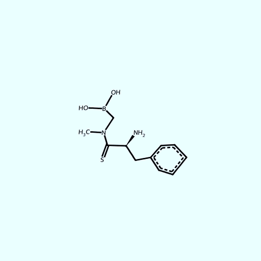 CN(CB(O)O)C(=S)[C@@H](N)Cc1ccccc1